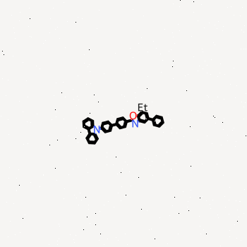 CCc1cc(-c2ccccc2)cc2nc(-c3ccc(-c4ccc(-n5c6ccccc6c6ccccc65)cc4)cc3)oc12